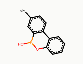 CCCc1ccc2c(c1)P(O)Oc1ccccc1-2